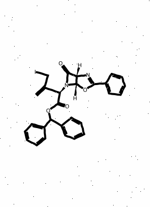 C=C(CI)[C@H](C(=O)OC(c1ccccc1)c1ccccc1)N1C(=O)[C@@H]2N=C(c3ccccc3)O[C@@H]21